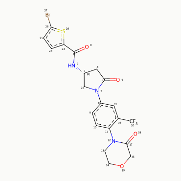 O=C(N[C@@H]1CC(=O)N(c2ccc(N3CCOCC3=O)c(C(F)(F)F)c2)C1)c1ccc(Br)s1